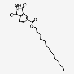 CCCCCCCCCCCCCCOC(=O)c1ccc2c(c1)C(=O)N(O)C2=O